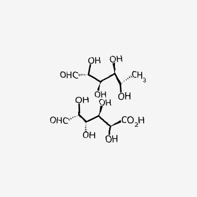 C[C@H](O)[C@H](O)[C@@H](O)[C@@H](O)C=O.O=C[C@H](O)[C@@H](O)[C@@H](O)[C@H](O)C(=O)O